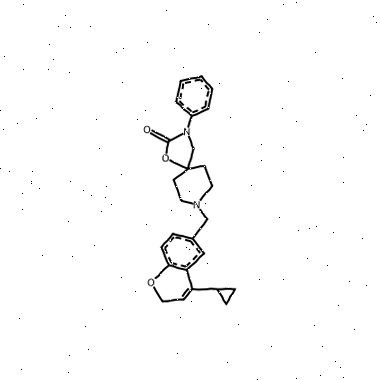 O=C1OC2(CCN(Cc3ccc4c(c3)C(C3CC3)=CCO4)CC2)CN1c1ccccc1